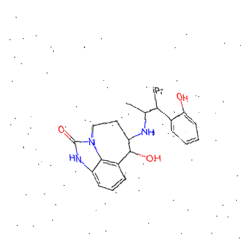 CC(C)C(c1ccccc1O)C(C)NC1CCn2c(=O)[nH]c3cccc(c32)C1O